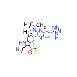 Cc1[nH]c2ccc(-c3nc4ccc(-c5nnn[nH]5)cc4nc3N(C)C(C)C)cc2c1C(=O)C(F)(F)F